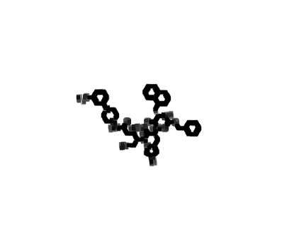 CC(C)C[C@H](NC(=O)[C@H](Cc1c[nH]cn1)NC(=O)[C@H](Cc1cccc2ccccc12)NC(=O)OCc1ccccc1)[C@@H](O)CC(=O)NN1CCN(c2cccc(C(F)(F)F)c2)CC1